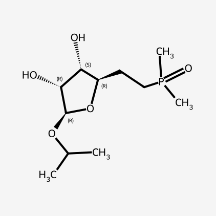 CC(C)O[C@@H]1O[C@H](CCP(C)(C)=O)[C@@H](O)[C@H]1O